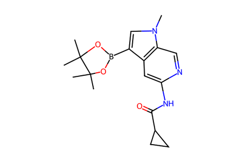 Cn1cc(B2OC(C)(C)C(C)(C)O2)c2cc(NC(=O)C3CC3)ncc21